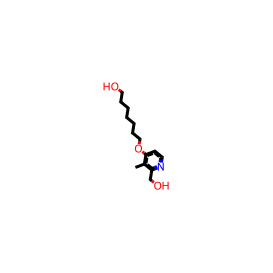 Cc1c(OCCCCCCCO)ccnc1CO